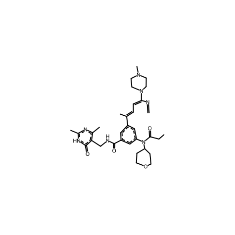 C=N/C(=C\C=C(/C)c1cc(C(=O)NCc2c(C)nc(C)[nH]c2=O)cc(N(C(=O)CC)C2CCOCC2)c1)N1CCN(C)CC1